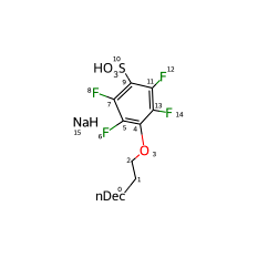 CCCCCCCCCCCCOc1c(F)c(F)c(S(=O)(=O)O)c(F)c1F.[NaH]